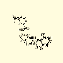 Cc1ccc(NC(=O)c2cccc(N(C)C)c2)cc1NC(=O)c1ccc2nc[nH]c(=O)c2c1